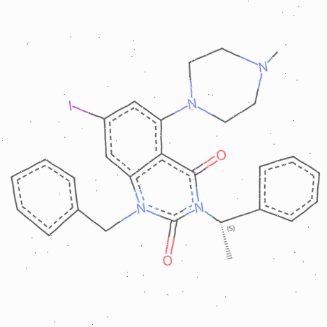 C[C@@H](c1ccccc1)n1c(=O)c2c(N3CCN(C)CC3)cc(I)cc2n(Cc2ccccc2)c1=O